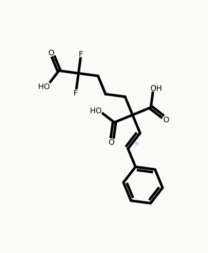 O=C(O)C(F)(F)CCCC(/C=C/c1ccccc1)(C(=O)O)C(=O)O